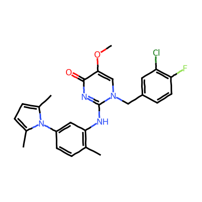 COc1cn(Cc2ccc(F)c(Cl)c2)c(Nc2cc(-n3c(C)ccc3C)ccc2C)nc1=O